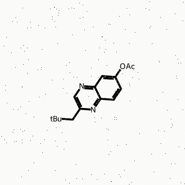 CC(=O)Oc1ccc2nc(CC(C)(C)C)cnc2c1